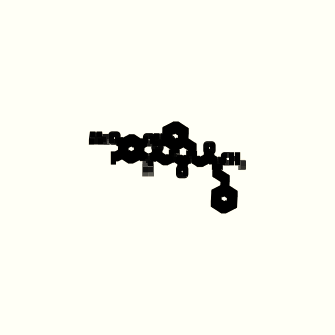 COc1cc(OC)c(NC(=O)CN2C(=O)N(CC(=O)N(C)CCc3ccccc3)Cc3ccccc32)cc1I